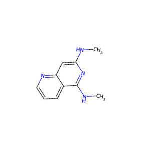 CNc1cc2ncccc2c(NC)n1